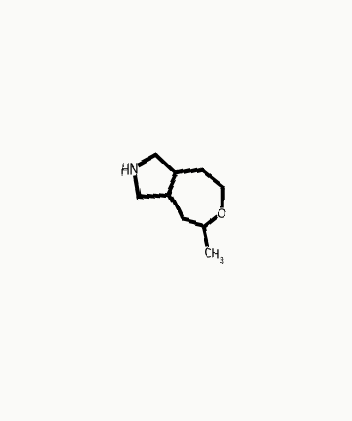 CC1CC2CNCC2CCO1